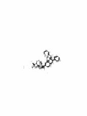 CC(C)(C)OC(=O)C1CCCN(C(=O)c2ccc3cc(-c4ccccc4)c(Nc4ccccn4)nc3c2)C1N